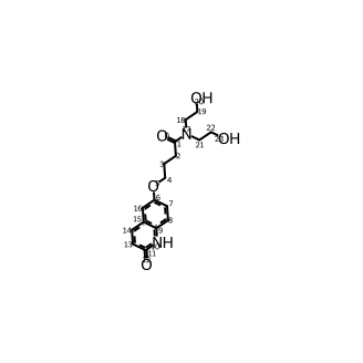 O=C(CCCOc1ccc2[nH]c(=O)ccc2c1)N(CCO)CCO